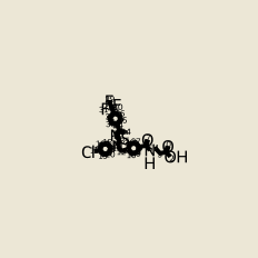 O=C(O)CCNC(=O)c1ccc(CN(c2ccc(Cl)cc2)c2nc(-c3ccc(C(F)(F)F)cc3)cs2)cc1